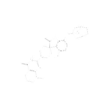 C=C1NC(N2CCC(C(=C)C)(c3c(Cl)ccc(OC4CC5CCC(C4)N5C)c3C)CC2)=NC2=C1CCCN2C